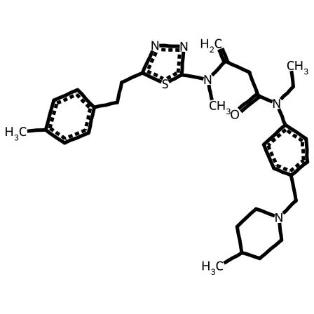 C=C(CC(=O)N(CC)c1ccc(CN2CCC(C)CC2)cc1)N(C)c1nnc(CCc2ccc(C)cc2)s1